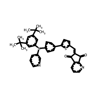 CC(C)(C)c1cc(N(c2ccc(-c3ccc(/C=C4\C(=O)c5cccnc5C4=O)s3)cc2)c2cccnc2)cc(C(C)(C)C)c1